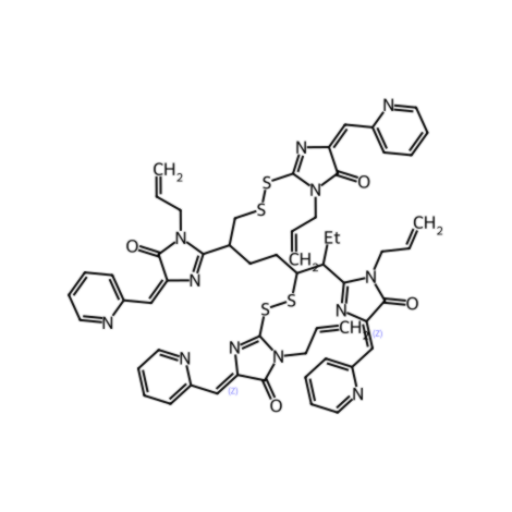 [CH2]CC(C1=N/C(=C\c2ccccn2)C(=O)N1CC=C)C(CCC(CSSC1=NC(=Cc2ccccn2)C(=O)N1CC=C)C1=NC(=Cc2ccccn2)C(=O)N1CC=C)SSC1=N/C(=C\c2ccccn2)C(=O)N1CC=C